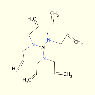 C=CC[N](CC=C)[Al]([N](CC=C)CC=C)[N](CC=C)CC=C